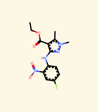 CCOC(=O)c1c(Nc2ccc(F)cc2[N+](=O)[O-])nn(C)c1C